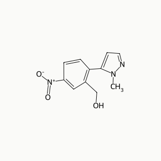 Cn1nccc1-c1ccc([N+](=O)[O-])cc1CO